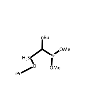 CCCCC([SiH2]OC(C)C)[Si](OC)OC